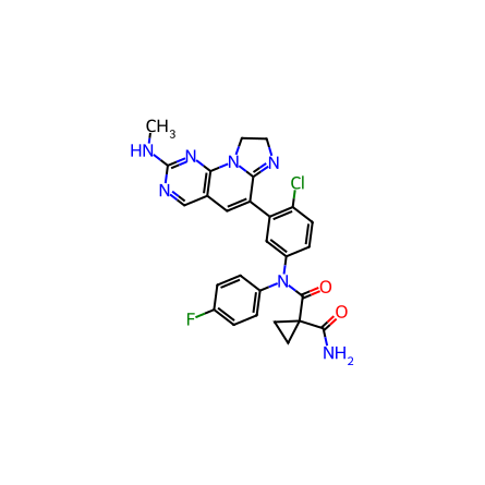 CNc1ncc2c(n1)N1CCN=C1C(c1cc(N(C(=O)C3(C(N)=O)CC3)c3ccc(F)cc3)ccc1Cl)=C2